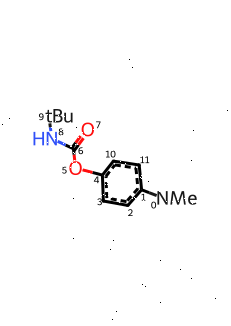 CNc1ccc(OC(=O)NC(C)(C)C)cc1